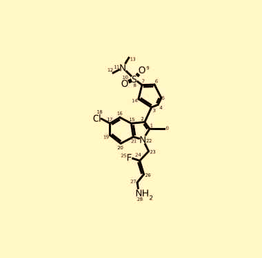 Cc1c(-c2cccc(S(=O)(=O)N(C)C)c2)c2cc(Cl)ccc2n1C/C(F)=C/CN